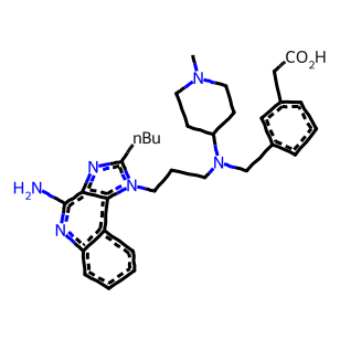 CCCCc1nc2c(N)nc3ccccc3c2n1CCCN(Cc1cccc(CC(=O)O)c1)C1CCN(C)CC1